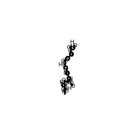 CCN(C)S(=O)(=O)Nc1ccc(F)c(C(=O)c2cn(OC=O)c3ncc(-c4ccc(N5CCC(NCC(=O)N6CCC(c7cccc(OC8CCC(=O)NC8=O)c7)CC6)CC5)nc4)cc23)c1F